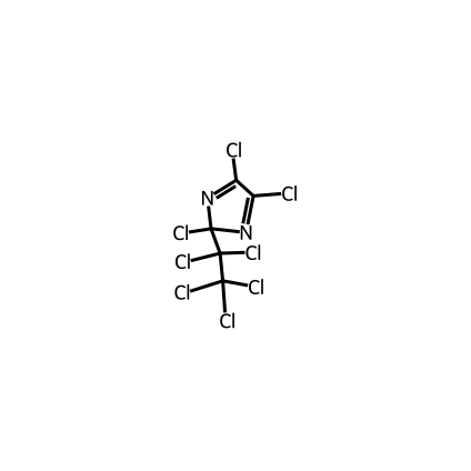 ClC1=NC(Cl)(C(Cl)(Cl)C(Cl)(Cl)Cl)N=C1Cl